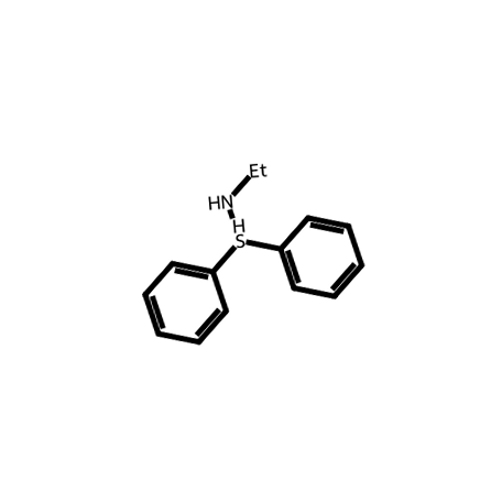 CCN[SH](c1ccccc1)c1ccccc1